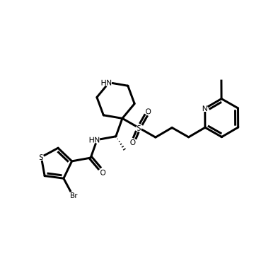 Cc1cccc(CCCS(=O)(=O)C2([C@H](C)NC(=O)c3cscc3Br)CCNCC2)n1